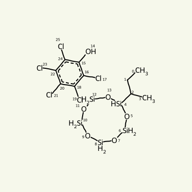 CCC(C)[SiH]1O[SiH2]O[SiH2]O[SiH2]O[SiH2]O1.Oc1c(Cl)c(Cl)c(Cl)c(Cl)c1Cl